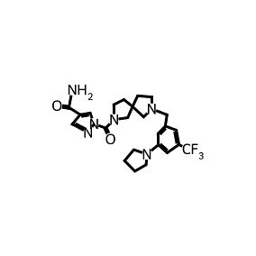 NC(=O)c1cnn(C(=O)N2CCC3(CCN(Cc4cc(N5CCCC5)cc(C(F)(F)F)c4)C3)C2)c1